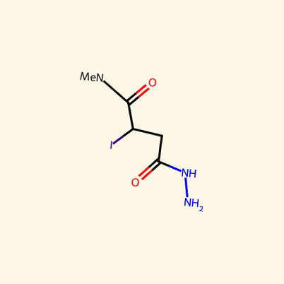 CNC(=O)C(I)CC(=O)NN